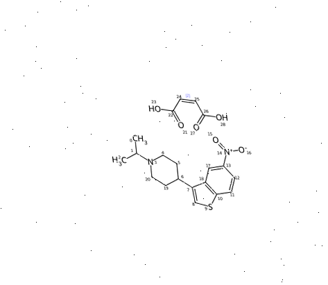 CC(C)N1CCC(c2csc3ccc([N+](=O)[O-])cc23)CC1.O=C(O)/C=C\C(=O)O